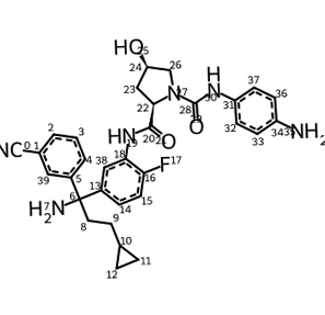 N#Cc1cccc(C(N)(CCC2CC2)c2ccc(F)c(NC(=O)[C@H]3C[C@@H](O)CN3C(=O)Nc3ccc(N)cc3)c2)c1